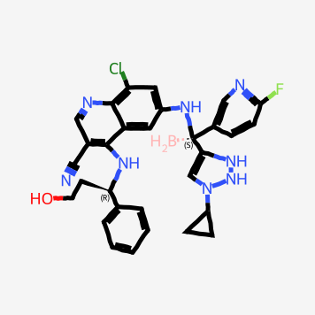 B[C@@](Nc1cc(Cl)c2ncc(C#N)c(N[C@H](CCO)c3ccccc3)c2c1)(C1=CN(C2CC2)NN1)c1ccc(F)nc1